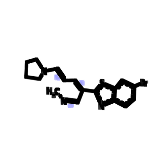 C\N=C/C(=C\C=C\N1CCCC1)c1nc2ccc(Br)cc2s1